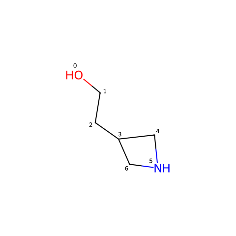 OCCC1CNC1